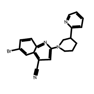 N#Cc1cc(N2CCCC(c3ccccn3)C2)nc2ccc(Br)cc12